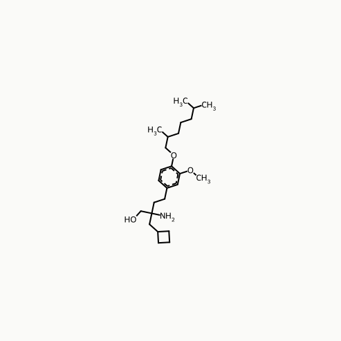 COc1cc(CCC(N)(CO)CC2CCC2)ccc1OCC(C)CCCC(C)C